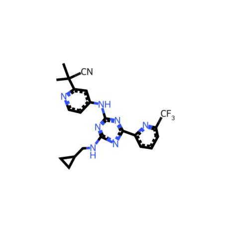 CC(C)(C#N)c1cc(Nc2nc(NCC3CC3)nc(-c3cccc(C(F)(F)F)n3)n2)ccn1